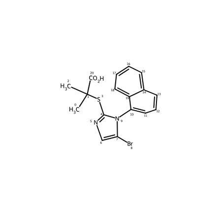 CC(C)(Sc1ncc(Br)n1-c1cccc2ccccc12)C(=O)O